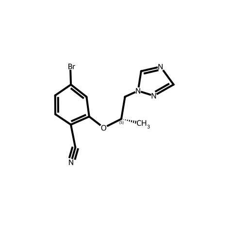 C[C@@H](Cn1cncn1)Oc1cc(Br)ccc1C#N